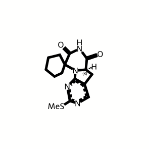 CSc1ncc2c(n1)N1[C@H](C2)C(=O)NC(=O)C12CCCCC2